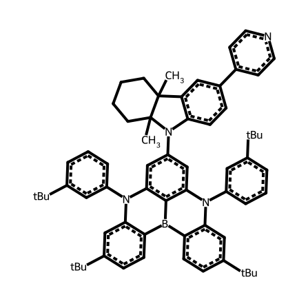 CC(C)(C)c1cccc(N2c3cc(C(C)(C)C)ccc3B3c4ccc(C(C)(C)C)cc4N(c4cccc(C(C)(C)C)c4)c4cc(N5c6ccc(-c7ccncc7)cc6C6(C)CCCCC56C)cc2c43)c1